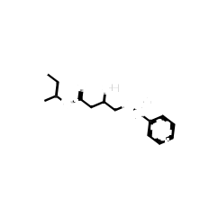 CCC(C)OC(=O)CC(O)COS(=O)(=O)c1ccccc1